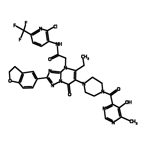 CCc1c(N2CCN(C(=O)c3ncnc(C)c3O)CC2)c(=O)n2nc(-c3ccc4c(c3)CCO4)nc2n1CC(=O)Nc1ccc(C(F)(F)F)nc1Cl